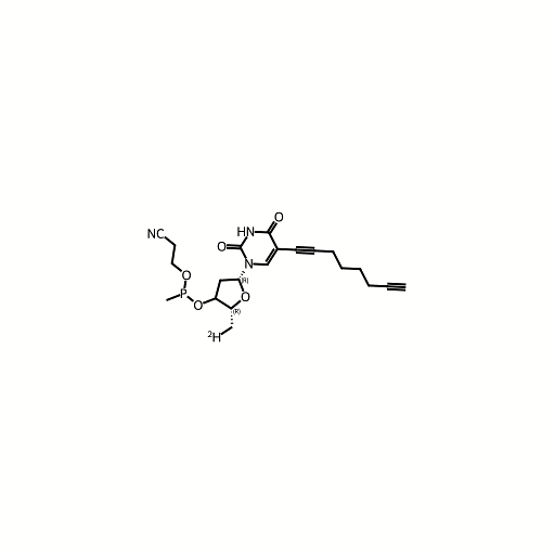 [2H]C[C@H]1O[C@@H](n2cc(C#CCCCCC#C)c(=O)[nH]c2=O)CC1OP(C)OCCC#N